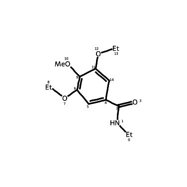 CCNC(=O)c1cc(OCC)c(OC)c(OCC)c1